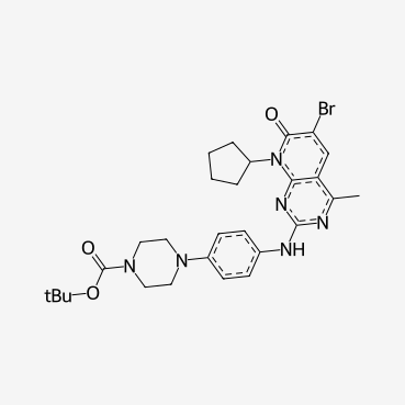 Cc1nc(Nc2ccc(N3CCN(C(=O)OC(C)(C)C)CC3)cc2)nc2c1cc(Br)c(=O)n2C1CCCC1